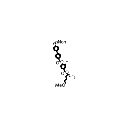 CCCCCCCCCOc1ccc(-c2ccc(C(=O)Oc3ccc(C(=O)OC(CCCCOC)C(F)(F)F)cc3F)cc2)cc1